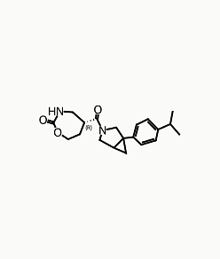 CC(C)c1ccc(C23CC2CN(C(=O)[C@@H]2CCOC(=O)NC2)C3)cc1